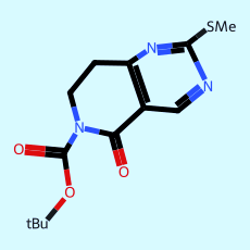 CSc1ncc2c(n1)CCN(C(=O)OC(C)(C)C)C2=O